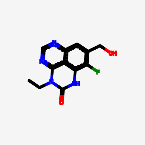 CCN1C(=O)Nc2c(F)c(CO)cc3ncnc1c23